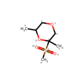 CC1COCC(C)(S(C)(=O)=O)O1